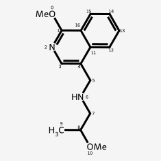 COc1ncc(CNCC(C)OC)c2ccccc12